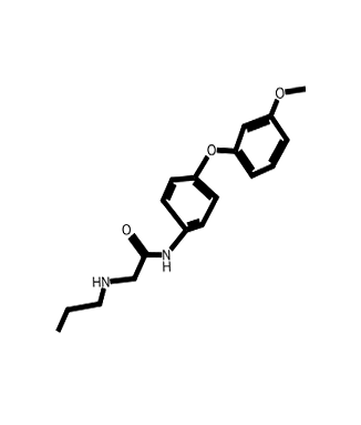 CCCNCC(=O)Nc1ccc(Oc2cccc(OC)c2)cc1